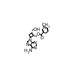 CN1C=CCC(C(=O)OC[C@@H]2[C@@H](CO)C[C@H]2n2cnc3c(N)ncnc32)=C1